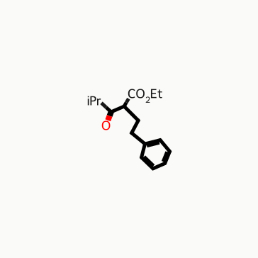 CCOC(=O)C(CCc1ccccc1)C(=O)C(C)C